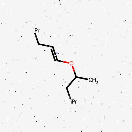 CC(C)C/C=C/OC(C)CC(C)C